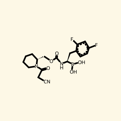 N#CCC(=O)N1CCCC[C@@H]1COC(=O)N[C@@H](Cc1ccc(F)cc1F)B(O)O